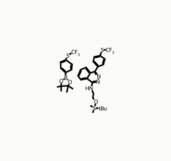 CC(C)(C)[Si](C)(C)OCCNc1nnc(-c2ccc(SC(F)(F)F)cc2)c2ccccc12.CC1(C)OB(c2ccc(SC(F)(F)F)cc2)OC1(C)C